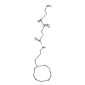 CC(C)CCNC(=O)CCC(=O)NCCCC1CCCCCCCC1